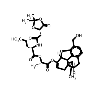 C[C@H](OC(=O)[C@H](CCC(=O)O)NC(=O)C[C@@H]1OC(C)(C)OC1=O)C(=O)OC1=CC[C@@]2(O)[C@H]3Cc4ccc(CO)c5c4[C@@]2(CCN3C)[C@H]1O5